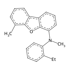 CCc1ccccc1N(C)c1cccc2c1oc1c(C)cccc12